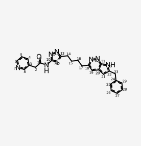 O=C(Cc1cccnc1)Nc1nnc(CCCCc2cc3cc(Cc4ccccc4)[nH]c3nn2)s1